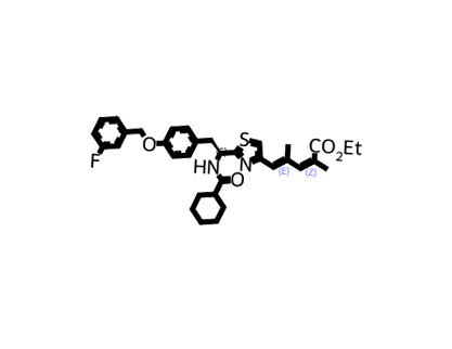 CCOC(=O)/C(C)=C\C(C)=C\c1csc([C@H](Cc2ccc(OCc3cccc(F)c3)cc2)NC(=O)C2CCCCC2)n1